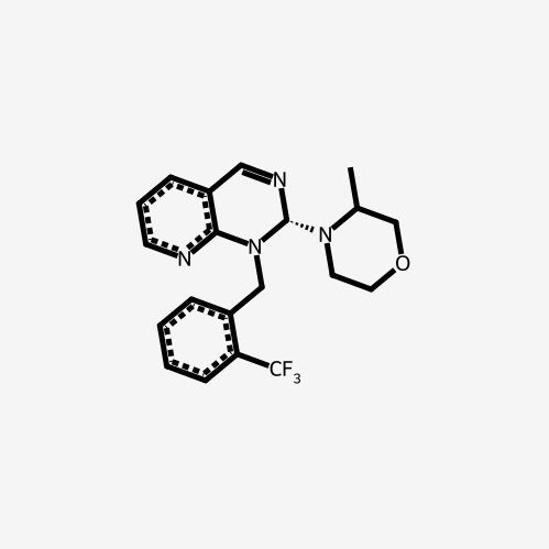 CC1COCCN1[C@H]1N=Cc2cccnc2N1Cc1ccccc1C(F)(F)F